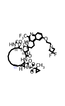 CC1(S(=O)(=O)NC(=O)[C@@]23C[C@H]2/C=C\CCCCC[C@H](NC(=O)O)C(=O)N2C[C@@]4(CCc5c(c(C(F)(F)F)nc6ccc(OCCN7CC(F)(F)C7)cc56)O4)C[C@H]2C(=O)N3)CC1